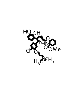 COC(=O)C1(NC(=O)c2ccc(-c3cccc(O)c3C)c(-c3ccc(Cl)c(OCCCN(C)C)c3)n2)CCCCC1